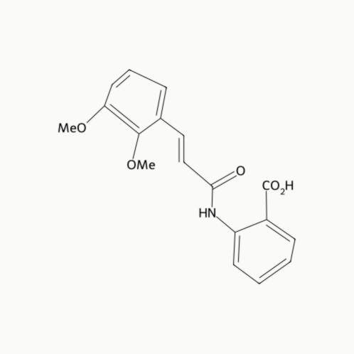 COc1cccc(C=CC(=O)Nc2ccccc2C(=O)O)c1OC